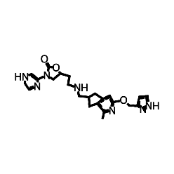 Cc1nc(OCc2cc[nH]n2)cc2c1CC(CNCCC1CN(C3=CNCC=N3)C(=O)O1)C2